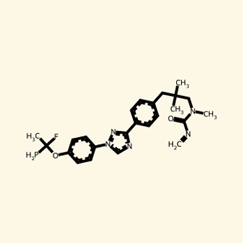 C=NC(=O)N(C)CC(C)(C)Cc1ccc(-c2ncn(-c3ccc(OC(C)(F)P)cc3)n2)cc1